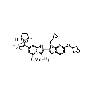 COc1cc(C(=O)N2[C@H]3CC[C@@H]2[C@H](N)C3)cc2nc(-c3cc4ccc(OC5COC5)nc4n3CC3CC3)c(C)n12